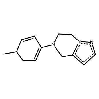 CC1C=CC(N2CCn3nccc3C2)=CC1